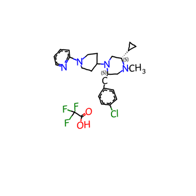 CN1C[C@H](Cc2ccc(Cl)cc2)N(C2CCN(c3ccccn3)CC2)C[C@@H]1C1CC1.O=C(O)C(F)(F)F